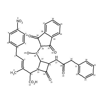 CC(=CCc1ccc([N+](=O)[O-])cc1)C(C(=O)O)N1C(=O)C(NC(=O)Cc2ccccc2)C1[S+]([O-])N1C(=O)c2ccccc2C1=O